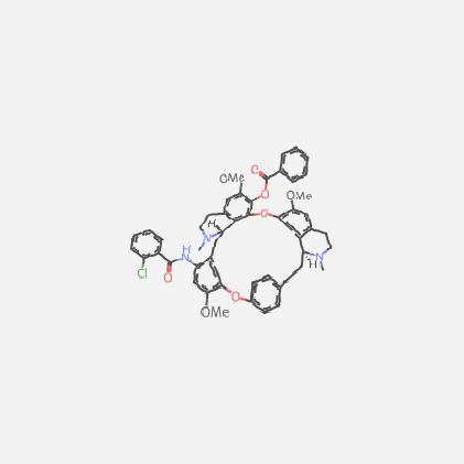 COc1cc(NC(=O)c2ccccc2Cl)c2cc1Oc1ccc(cc1)C[C@H]1c3cc(c(OC)cc3CCN1C)Oc1c(OC(=O)c3ccccc3)c(OC)cc3c1[C@H](C2)N(C)CC3